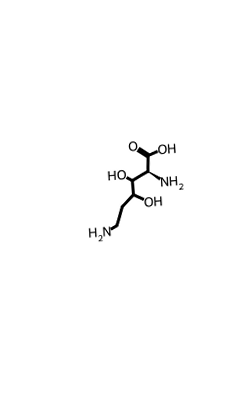 NCCC(O)C(O)[C@H](N)C(=O)O